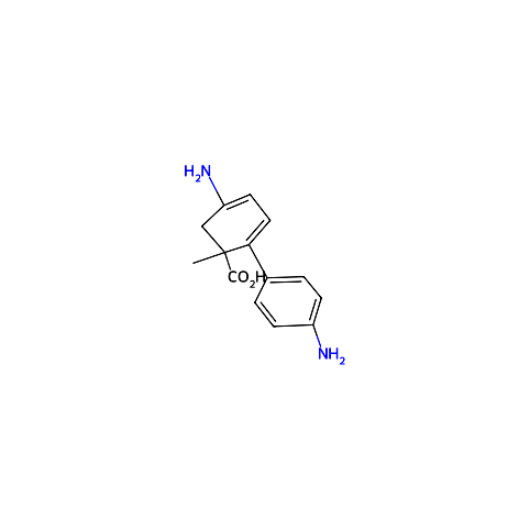 CC1(C(=O)O)CC(N)=CC=C1c1ccc(N)cc1